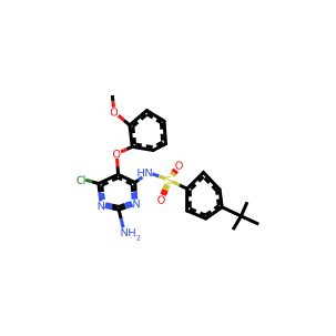 COc1ccccc1Oc1c(Cl)nc(N)nc1NS(=O)(=O)c1ccc(C(C)(C)C)cc1